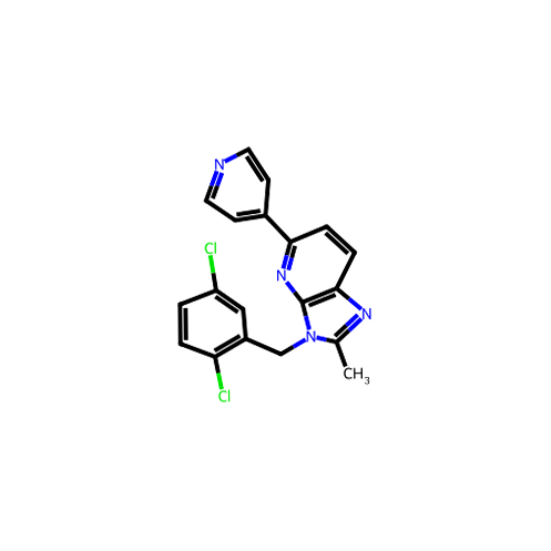 Cc1nc2ccc(-c3ccncc3)nc2n1Cc1cc(Cl)ccc1Cl